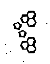 C1=CCC=C1.C1=CCC=C1.C1=Cc2cccc3cccc(c23)C1.C1=Cc2cccc3cccc(c23)C1